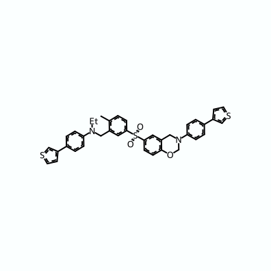 CCN(Cc1cc(S(=O)(=O)c2ccc3c(c2)CN(c2ccc(-c4ccsc4)cc2)CO3)ccc1C)c1ccc(-c2ccsc2)cc1